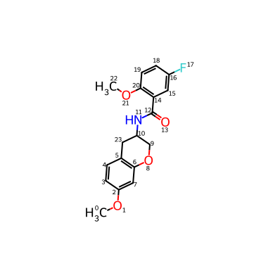 COc1ccc2c(c1)OCC(NC(=O)c1cc(F)ccc1OC)C2